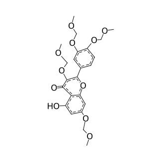 COCOc1cc(O)c2c(=O)c(OCOC)c(-c3ccc(OCOC)c(OCOC)c3)oc2c1